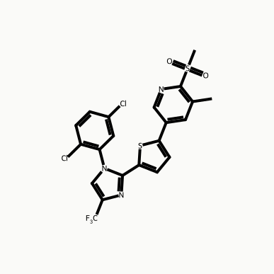 Cc1cc(-c2ccc(-c3nc(C(F)(F)F)cn3-c3cc(Cl)ccc3Cl)s2)cnc1S(C)(=O)=O